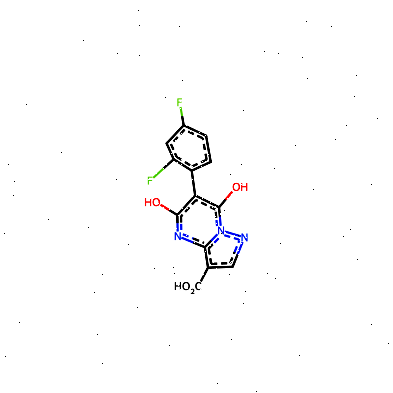 O=C(O)c1cnn2c(O)c(-c3ccc(F)cc3F)c(O)nc12